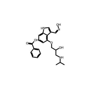 CC(C)NCC(O)COc1cccc2[nH]cc(/C=N\O)c12.O=C(O)c1ccccc1